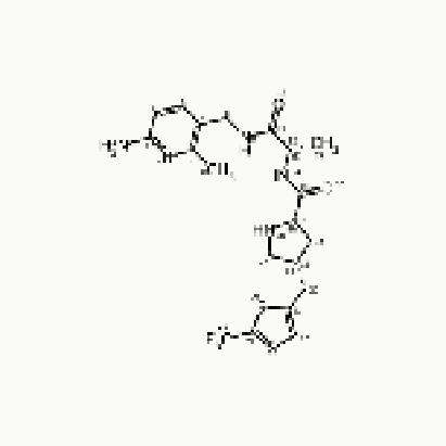 Cc1nc(N)ccc1CNC(=O)[C@H](C)NC(=O)[C@H]1C[C@H](Cc2ccc(C(F)(F)F)s2)CN1